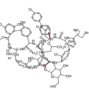 CC(C)C[C@@H](N)C(=O)NC1C(=O)N[C@@H](CC(N)=O)C(=O)N[C@H]2C(=O)NC3C(=O)N[C@H](C(=O)N[C@@H](C(=O)O)c4cc(O)cc(O)c4-c4cc3ccc4O)[C@H](O)c3ccc(c(Cl)c3)Oc3cc2cc(c3OC2OC(CO)C(O)C(O)C2OC2CC(C)(NCC(OCc3ccc(-c4ccc(Cl)cc4)cc3)C(=O)O)C(O)C(C)O2)Oc2ccc(cc2Cl)[C@H]1O